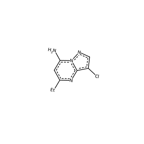 CCc1cc(N)n2ncc(Cl)c2n1